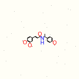 COc1ccc(C(C)NC(=O)/C=C/c2ccc(OC)c(OC)c2)cc1